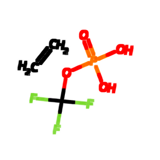 C=C.O=P(O)(O)OC(F)(F)F